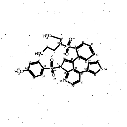 CCCN(CC)S(=O)(=O)c1ccccc1-c1cn(S(=O)(=O)c2ccc(C)cc2)c2nccc(-c3ccsc3)c12